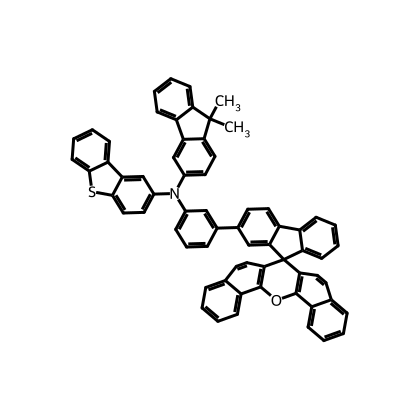 CC1(C)c2ccccc2-c2cc(N(c3cccc(-c4ccc5c(c4)C4(c6ccccc6-5)c5ccc6ccccc6c5Oc5c4ccc4ccccc54)c3)c3ccc4sc5ccccc5c4c3)ccc21